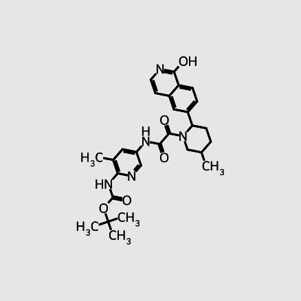 Cc1cc(NC(=O)C(=O)N2CC(C)CCC2c2ccc3c(O)nccc3c2)cnc1NC(=O)OC(C)(C)C